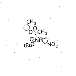 C[C@@H]1CCC[C@H](OC(=O)[C@H](C)C[C@H](Cc2ccc([N+](=O)[O-])cc2)NC(=O)OC(C)(C)C)C1